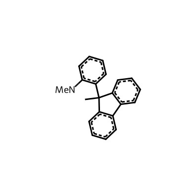 CNc1ccccc1C1(C)c2ccccc2-c2ccccc21